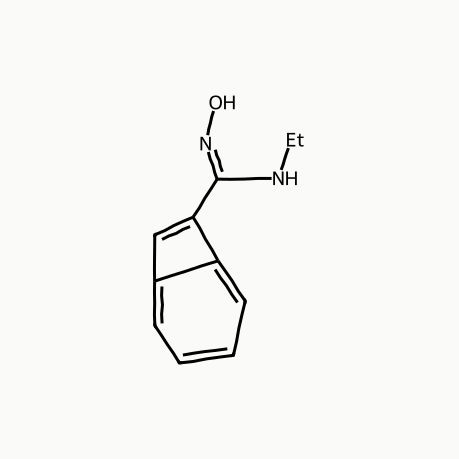 CCNC(=NO)C1=Cc2ccccc21